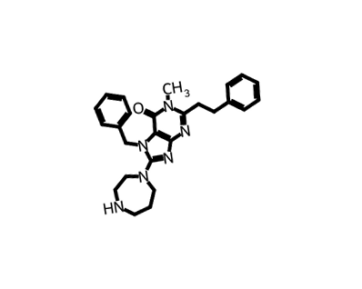 Cn1c(CCc2ccccc2)nc2nc(N3CCCNCC3)n(Cc3ccccc3)c2c1=O